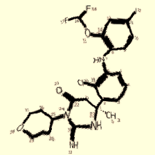 C[C@@]1(c2cccc(Nc3ccc(I)cc3OC(F)F)c2Cl)CC(=O)N(C2CCOCC2)C(=N)N1